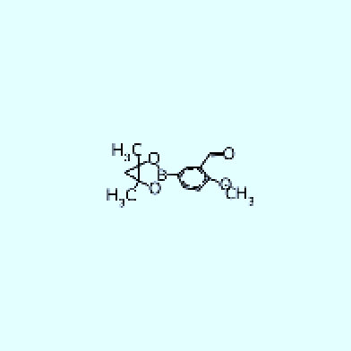 COc1ccc(B2OC3(C)CC3(C)O2)cc1C=O